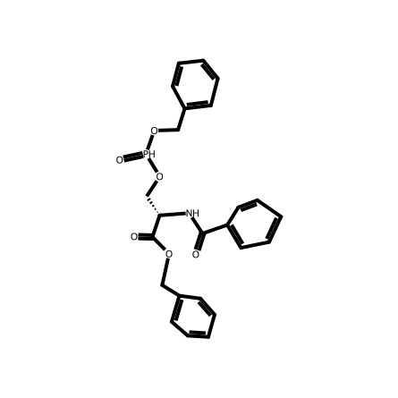 O=C(N[C@@H](CO[PH](=O)OCc1ccccc1)C(=O)OCc1ccccc1)c1ccccc1